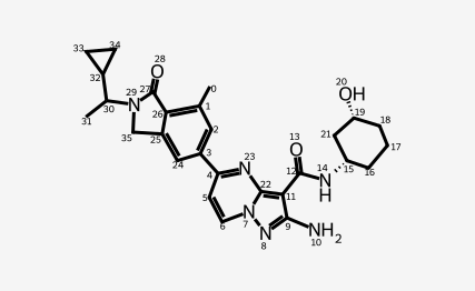 Cc1cc(-c2ccn3nc(N)c(C(=O)N[C@H]4CCC[C@@H](O)C4)c3n2)cc2c1C(=O)N(C(C)C1CC1)C2